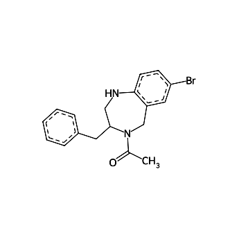 CC(=O)N1Cc2cc(Br)ccc2NCC1Cc1ccccc1